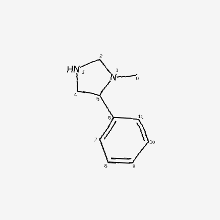 CN1CNCC1c1ccccc1